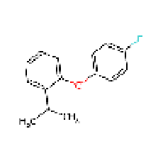 CC(C)c1ccccc1Oc1ccc(F)cc1